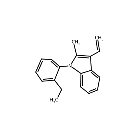 C=Cc1c(C)n(-c2ccccc2CC)c2ccccc12